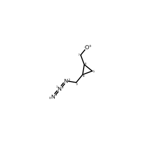 [N-]=[N+]=NCC1CC1C[O]